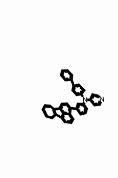 C1=CCC2=C(C=C1)c1ccc(-c3cccc(N(c4ccncc4)c4ccc(-c5ccccc5)cc4)c3)c3cccc2c13